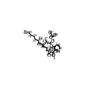 CN(C)C(=O)Oc1cccnc1C(=O)[N+](C)(C)CCCCCCCCCCBr.O=[N+]([O-])[O-]